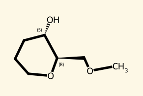 COC[C@H]1OCCC[C@@H]1O